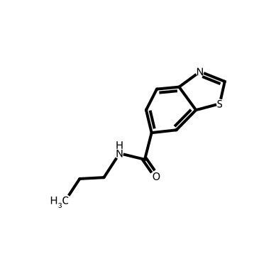 CCCNC(=O)c1ccc2ncsc2c1